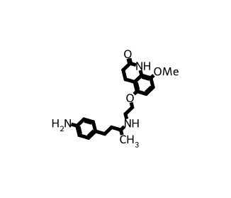 COc1ccc(OCCNC(C)CCc2ccc(N)cc2)c2c1NC(=O)CC2